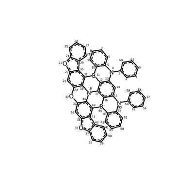 c1ccc(N2c3ccccc3B3c4c2cc2c5c4N4c6c(cc7oc8ccccc8c7c63)Oc3cc6oc7ccccc7c6c(c34)B5c3ccccc3N2c2ccccc2)cc1